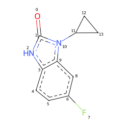 O=c1[nH]c2ccc(F)cc2n1C1CC1